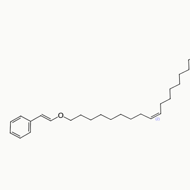 CCCCCCCC/C=C\CCCCCCCCOC=Cc1ccccc1